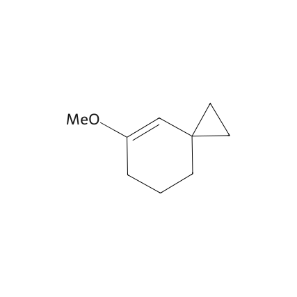 COC1=CC2(CCC1)CC2